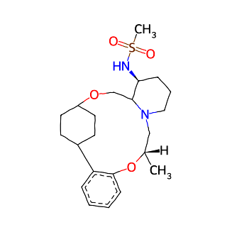 C[C@H]1CN2CCC[C@H](NS(C)(=O)=O)C2COC2CCC(CC2)c2ccccc2O1